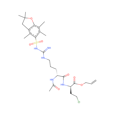 C=CCOC(=O)[C@@H](CCCl)NC(=O)[C@@H](CCCNC(=N)NS(=O)(=O)c1c(C)c(C)c2c(c1C)CC(C)(C)O2)NC(C)=O